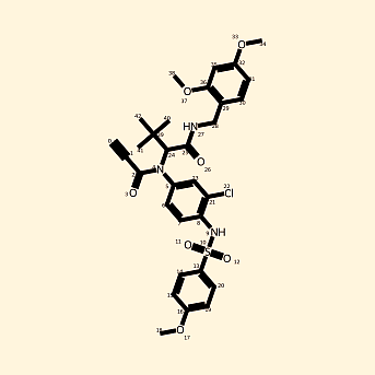 C#CC(=O)N(c1ccc(NS(=O)(=O)c2ccc(OC)cc2)c(Cl)c1)C(C(=O)NCc1ccc(OC)cc1OC)C(C)(C)C